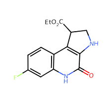 CCOC(=O)C1CNc2c1c1ccc(F)cc1[nH]c2=O